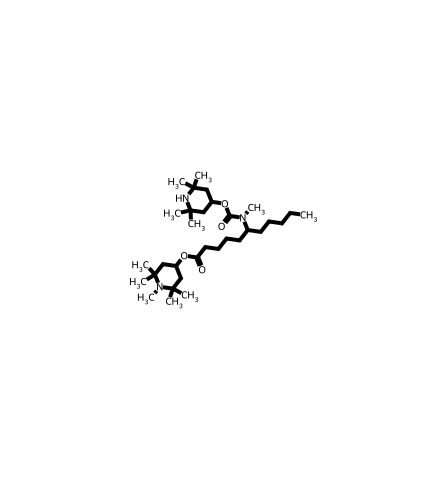 CCCCCC(CCCCC(=O)OC1CC(C)(C)N(C)C(C)(C)C1)N(C)C(=O)OC1CC(C)(C)NC(C)(C)C1